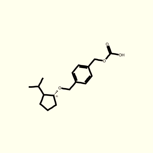 CC(C)C1CCC[C@H]1OCc1ccc(COC(=O)O)cc1